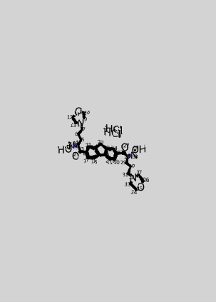 Cl.Cl.O=C(/C(CCCN1CCOCC1)=N\O)c1ccc2c(c1)Cc1cc(C(=O)/C(CCCN3CCOCC3)=N\O)ccc1-2